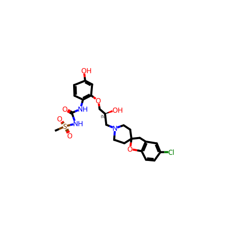 CS(=O)(=O)NC(=O)Nc1ccc(O)cc1OC[C@@H](O)CN1CCC2(CC1)Cc1cc(Cl)ccc1O2